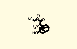 CCN(CC#N)C(=O)[C@@H](N)C12CC3CC(CC(O)(C3)C1)C2